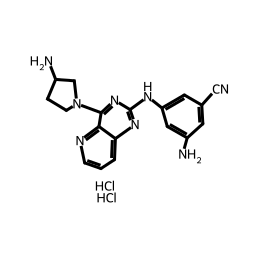 Cl.Cl.N#Cc1cc(N)cc(Nc2nc(N3CCC(N)C3)c3ncccc3n2)c1